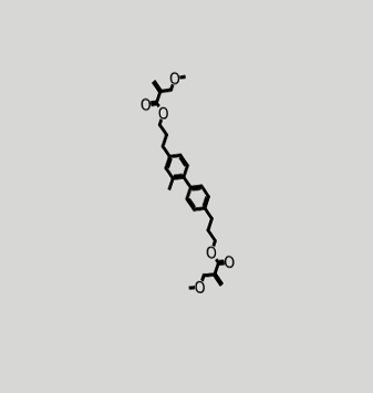 C=C(COC)C(=O)OCCCc1ccc(-c2ccc(CCCOC(=O)C(=C)COC)cc2C)cc1